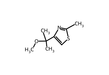 COC(C)(C)c1csc(C)n1